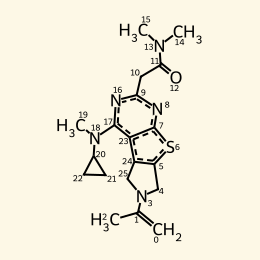 C=C(C)N1Cc2sc3nc(CC(=O)N(C)C)nc(N(C)C4CC4)c3c2C1